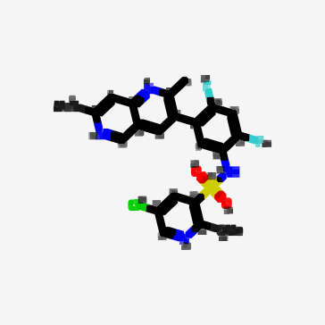 CNc1cc2nc(C)c(-c3cc(NS(=O)(=O)c4cc(Cl)cnc4OC)c(F)cc3F)cc2cn1